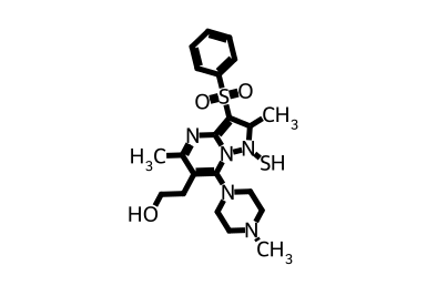 CC1=NC2=C(S(=O)(=O)c3ccccc3)C(C)N(S)N2C(N2CCN(C)CC2)=C1CCO